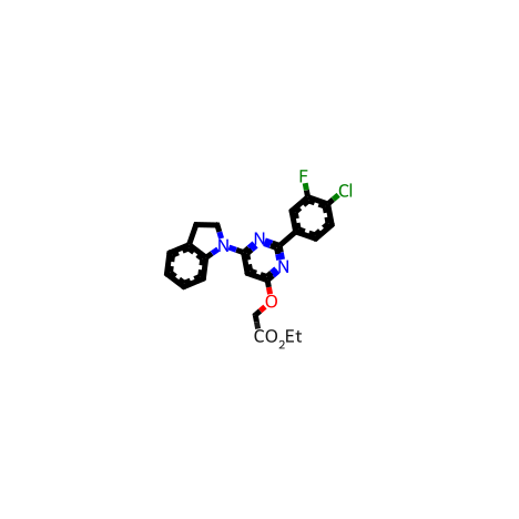 CCOC(=O)COc1cc(N2CCc3ccccc32)nc(-c2ccc(Cl)c(F)c2)n1